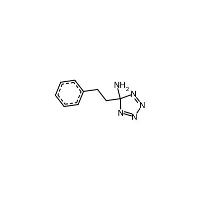 NC1(CCc2ccccc2)N=NN=N1